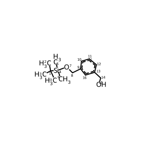 CC(C)(C)[Si](C)(C)OCc1c[c]cc(CO)c1